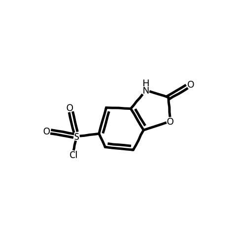 O=c1[nH]c2cc(S(=O)(=O)Cl)ccc2o1